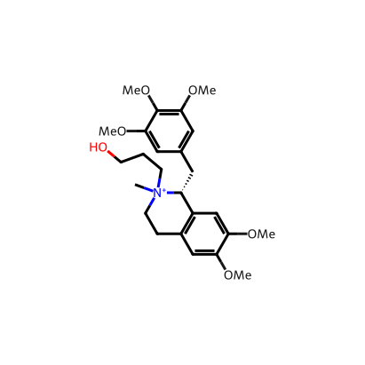 COc1cc2c(cc1OC)[C@@H](Cc1cc(OC)c(OC)c(OC)c1)[N+](C)(CCCO)CC2